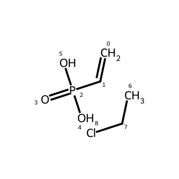 C=CP(=O)(O)O.CCCl